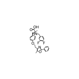 Cc1oc(-c2ccccc2)nc1CCOc1ccc(CC(C)(NCc2ccc(F)c(F)c2)C(=O)O)cc1